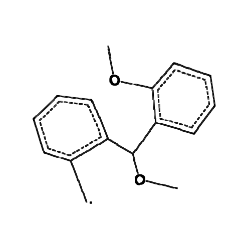 [CH2]c1ccccc1C(OC)c1ccccc1OC